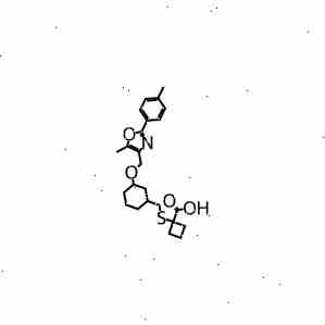 Cc1ccc(-c2nc(COC3CCCC(CSC4(C(=O)O)CCC4)C3)c(C)o2)cc1